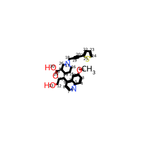 COc1ccc2nccc(C(CCO)[C@H]3CCN(CC#Cc4cccs4)C[C@@H]3C(=O)O)c2c1